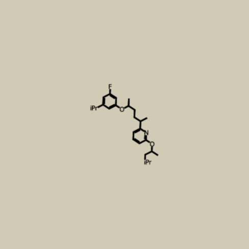 CC(C)CC(C)Oc1cccc(C(C)CCC(C)Oc2cc(F)cc(C(C)C)c2)n1